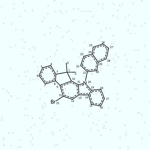 CC1(C)c2ccccc2-c2c(Br)cc3c4ccccc4n(-c4ccc5ccccc5c4)c3c21